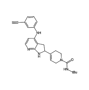 C#Cc1cccc(Nc2ccnc3c2CC(C2=CCN(C(=O)NC(C)(C)C)CC2)N3)c1